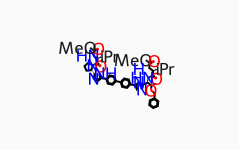 COC(=O)C[C@H](C(=O)N[C@H](c1ncc(-c2ccc(-c3ccc(-c4cnc([C@@H]5CCCN5C(=O)[C@@H](NC(=O)OC)C(C)C)[nH]4)cc3)cc2)[nH]1)[C@@H](C)OCc1ccccc1)C(C)C